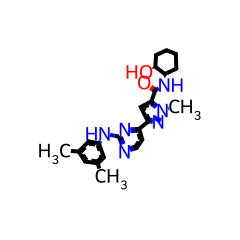 Cc1cc(C)cc(Nc2nccc(-c3cc(C(=O)N[C@H]4CCCC[C@H]4O)n(C)n3)n2)c1